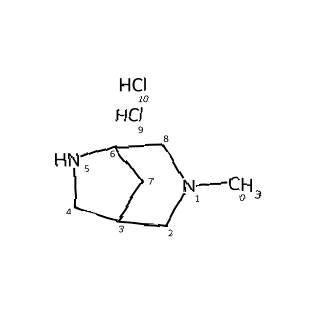 CN1CC2CNC(C2)C1.Cl.Cl